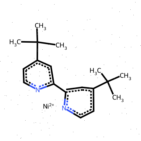 CC(C)(C)c1ccnc(-c2cc(C(C)(C)C)ccn2)c1.[Ni+2]